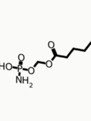 CCCCC(=O)OCOP(N)(=O)O